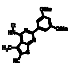 CCNc1nc(-c2cc(OC)cc(OC)c2)nc2sc(C#N)c(C)c12